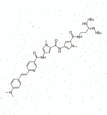 CCCC/N=C(\CCNC(=O)c1cc(NC(=O)c2cc(NC(=O)c3ccc(/C=C/c4ccc(N(C)C)cc4)nc3)cn2C)cn1C)NCCCC